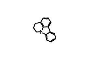 c1ccc2c(c1)c1cccc3c1n2CCC3